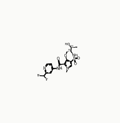 C[C@H](O)[C@H]1COc2c(cn(C)c2C(=O)Nc2ccnc(C(F)F)c2)S(=O)(=O)N1